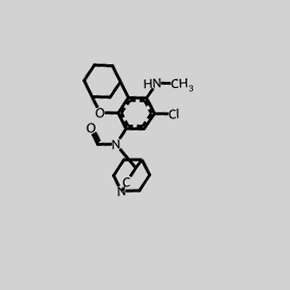 CNc1c(Cl)cc(N(C=O)C2CN3CCC2CC3)c2c1C1CCCC(C1)O2